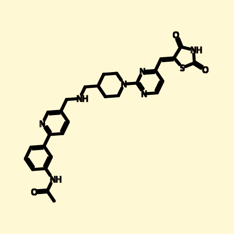 CC(=O)Nc1cccc(-c2ccc(CNCC3CCN(c4nccc(/C=C5\SC(=O)NC5=O)n4)CC3)cn2)c1